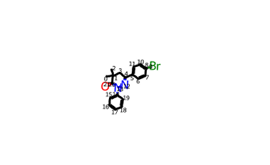 CC1(C)CC(c2ccc(Br)cc2)=NN(c2ccccc2)C1=O